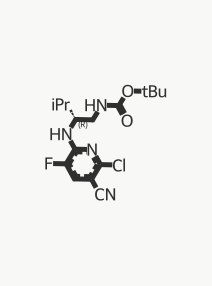 CC(C)[C@H](CNC(=O)OC(C)(C)C)Nc1nc(Cl)c(C#N)cc1F